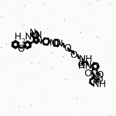 Nc1ncnc2c1c(-c1ccc(Oc3ccccc3)cc1)cn2[C@H]1CC[C@@H](N2CCN(CCOCCOCCNC(=O)CNc3cccc4c3C(=O)N(C3CCCNC3=O)C4=O)CC2)CC1